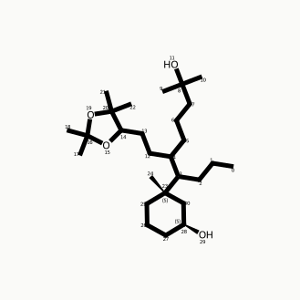 CCCC(C(CCCC(C)(C)O)CCC1OC(C)(C)OC1(C)C)[C@@]1(C)CCC[C@H](O)C1